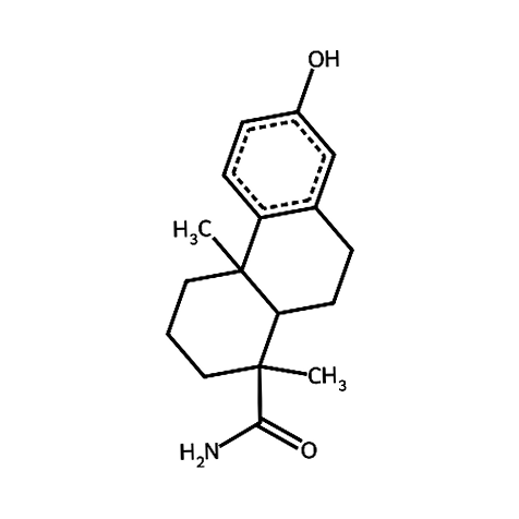 CC1(C(N)=O)CCCC2(C)c3ccc(O)cc3CCC12